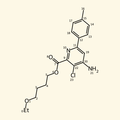 CCOCCCCOC(=O)c1nc(-c2ccc(C)cc2)cc(N)c1Cl